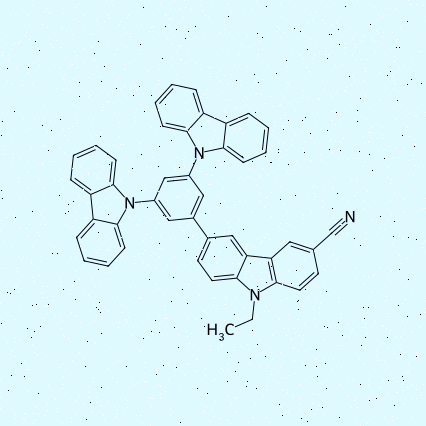 CCn1c2ccc(C#N)cc2c2cc(-c3cc(-n4c5ccccc5c5ccccc54)cc(-n4c5ccccc5c5ccccc54)c3)ccc21